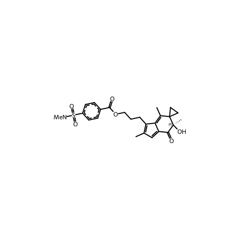 CNS(=O)(=O)c1ccc(C(=O)OCCCC2=C(C)C=C3C(=O)[C@](C)(O)C4(CC4)C(C)=C32)cc1